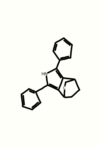 c1ccc(-c2[nH]c(-c3ccccc3)c3c2C2CCC3CC2)cc1